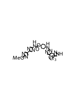 COc1ncc(-c2cnc(NC(=O)O[C@H]3CC[C@H](Nc4ncc(C(F)(F)F)c(-c5n[nH]cc5Cl)n4)CC3)cn2)cn1